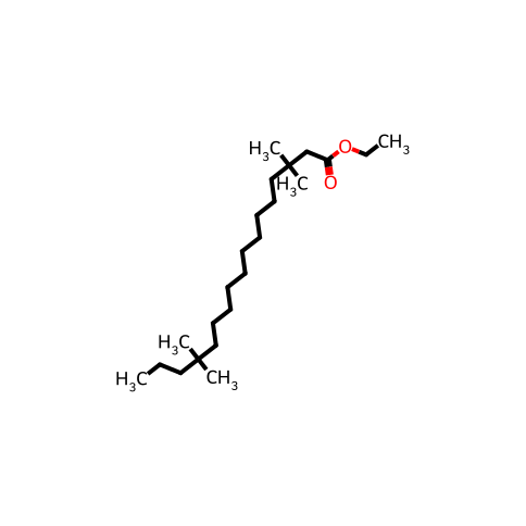 CCCC(C)(C)CCCCCCCCCCC(C)(C)CC(=O)OCC